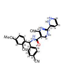 COc1ccc(C(NC(=O)c2cnc(-c3cccnn3)nc2N=O)c2ccc(C#N)cc2)c(OC)c1